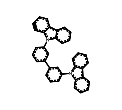 c1ccc2c3ccccc3n(-c3cccc(-c4cccc(-n5c6ccccc6c6ccccc65)c4)c3)c2c#1